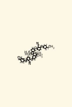 C=Cc1ccc(Oc2cccc(Oc3ccc4c(c3)C3(CC4(C)C)CC(C)(C)c4ccc(Oc5cccc(Oc6ccc(C=C)cc6)c5C#N)cc43)c2C#N)cc1